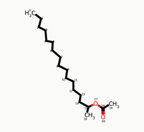 CCCCCCCCCCCCCCCC(C)OC(C)=O